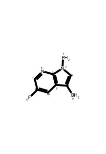 Bc1cn(P)c2ncc(F)cc12